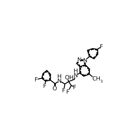 Cc1cc(NCC(O)(C(F)F)C(F)NC(=O)c2cccc(F)c2F)c2cnn(-c3ccc(F)cc3)c2c1